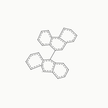 [c]1c2ccccc2c(-c2cc3ccccc3c3ccccc23)c2ccccc12